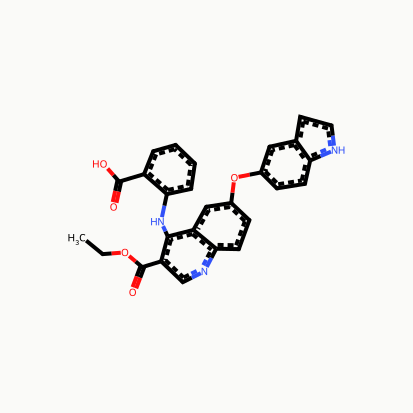 CCOC(=O)c1cnc2ccc(Oc3ccc4[nH]ccc4c3)cc2c1Nc1ccccc1C(=O)O